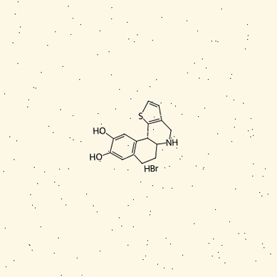 Br.Oc1cc2c(cc1O)C1c3sccc3CNC1CC2